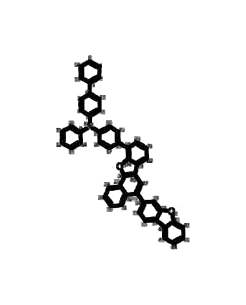 c1ccc(-c2ccc(N(c3ccccc3)c3ccc(-c4cccc5c4oc4c6ccccc6c(-c6ccc7c(c6)oc6ccccc67)cc54)cc3)cc2)cc1